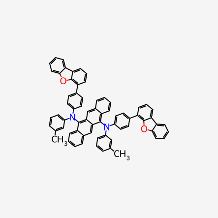 Cc1cccc(N(c2ccc(-c3cccc4c3oc3ccccc34)cc2)c2c3ccccc3cc3c(N(c4ccc(-c5cccc6c5oc5ccccc56)cc4)c4cccc(C)c4)c4ccccc4cc23)c1